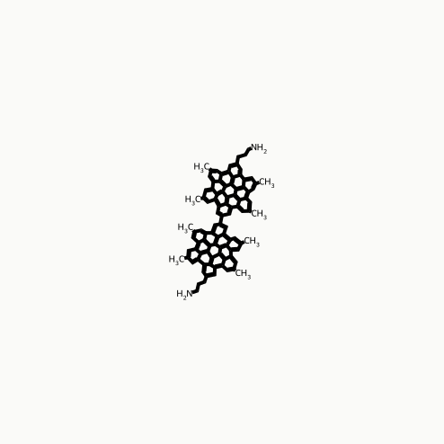 Cc1cc2c3cc(C)cc4c5cc(-c6cc7c8cc(C)cc9c%10cc(C)cc%11c%12cc(CCCN)cc%13c%14cc(C)cc%15c%16cc(C)cc%17c(c6)c7c6c(c98)c(c%10%11)c(c%12%13)c(c%15%14)c6c%16%17)cc6c7cc(C)cc8c9cc(C)cc%10c%11cc(CCCN)cc%12c(c1)c2c1c(c34)c(c56)c(c87)c(c9%10)c1c%12%11